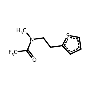 CN(CCc1cccs1)C(=O)C(F)(F)F